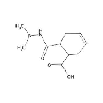 CN(C)NC(=O)C1CC=CCC1C(=O)O